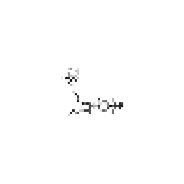 CCCc1nn(-c2ccc(C(F)(F)F)cn2)cc1CCCCCS(=O)(=O)O